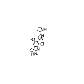 CNC1=Nc2c(cc(OC)c(-n3cc([C@H]4CCCN4)nn3)c2Cl)C12CCC2